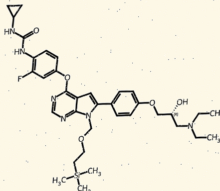 CCN(CC)C[C@@H](O)COc1ccc(-c2cc3c(Oc4ccc(NC(=O)NC5CC5)c(F)c4)ncnc3n2COCC[Si](C)(C)C)cc1